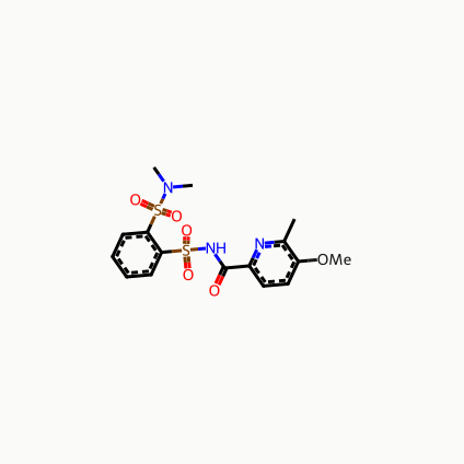 COc1ccc(C(=O)NS(=O)(=O)c2ccccc2S(=O)(=O)N(C)C)nc1C